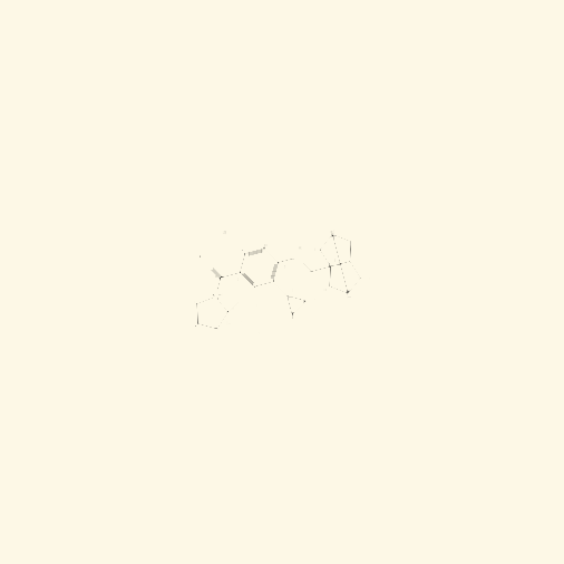 C[C@@]1(C(=O)O)CCCN1C(=O)c1cc(C2CC2)c(OCC23CC4CC2CC4C3)cc1F